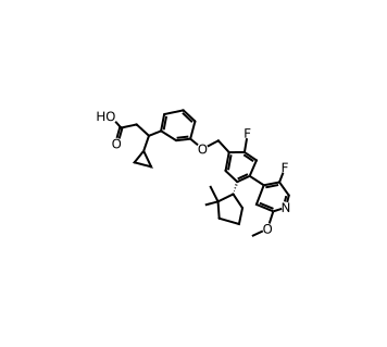 COc1cc(-c2cc(F)c(COc3cccc(C(CC(=O)O)C4CC4)c3)cc2[C@@H]2CCCC2(C)C)c(F)cn1